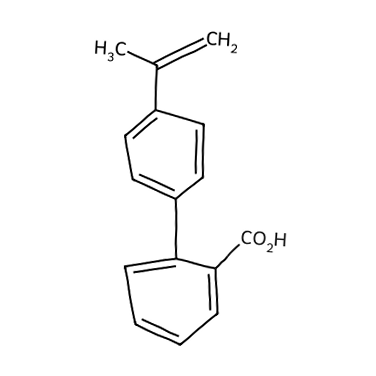 C=C(C)c1ccc(-c2ccccc2C(=O)O)cc1